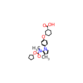 Cc1ccn(-c2ccc(O[C@H]3CCC[C@H](C(=O)O)C3)cc2)c1N(C)C(=O)OC1CCCC1